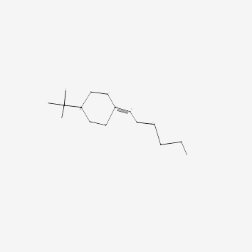 CCC(C)(C)C1CCC(=CCCCCC=O)CC1